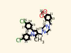 Cc1c(CN2CCN(Cc3ccc4c(c3)OCO4)CC2)cc(-c2ccc(Cl)cc2)n1-c1ccc(Cl)cc1